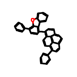 c1ccc(-c2ccc3ccc4ccc(-c5ccc(-c6ccccc6)c6oc7ccccc7c56)c5ccc2c3c45)cc1